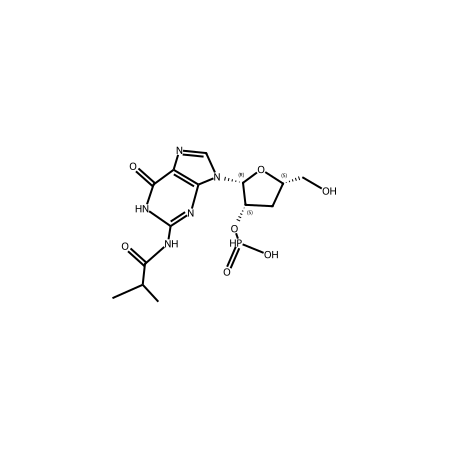 CC(C)C(=O)Nc1nc2c(ncn2[C@@H]2O[C@H](CO)C[C@@H]2O[PH](=O)O)c(=O)[nH]1